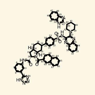 O=C(Nc1cccc(-c2nnn[nH]2)c1)[C@@H]1C[C@H]2CCC(c3ccc(S(=O)(=O)Nc4nc5ccccc5nc4N4CCC[C@@H](c5nc6ccccc6[nH]5)C4)cc3)C[C@H]2N1C(=O)c1ccc2ccccc2c1